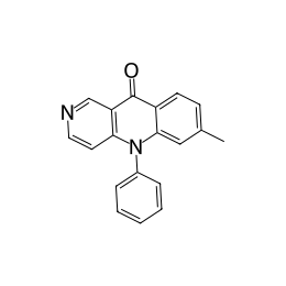 Cc1ccc2c(=O)c3cnccc3n(-c3ccccc3)c2c1